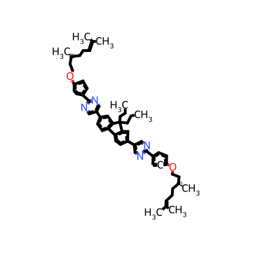 CCCC1(CCC)c2cc(-c3cnc(-c4ccc(OCC[C@H](C)CCC=C(C)C)cc4)nc3)ccc2-c2ccc(-c3cnc(-c4ccc(OCC[C@H](C)CCC=C(C)C)cc4)nc3)cc21